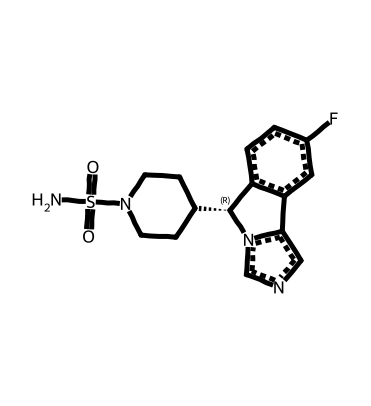 NS(=O)(=O)N1CCC([C@@H]2c3ccc(F)cc3-c3cncn32)CC1